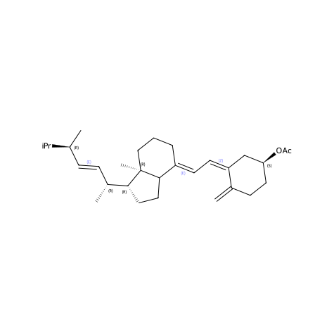 C=C1CC[C@H](OC(C)=O)C/C1=C/C=C1\CCC[C@@]2(C)C1CC[C@@H]2[C@H](C)/C=C/[C@H](C)C(C)C